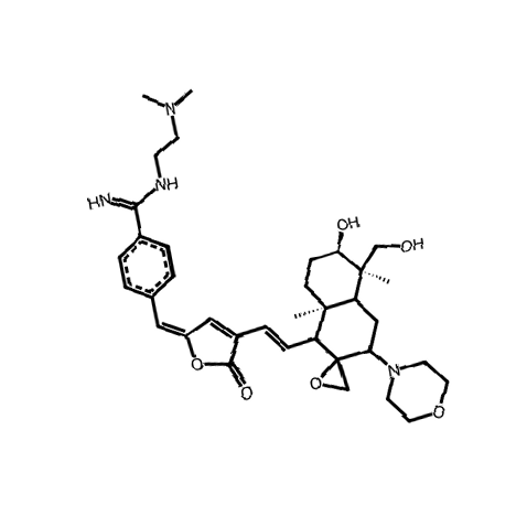 CN(C)CCNC(=N)c1ccc(/C=C2C=C(/C=C/C3C4(CO4)C(N4CCOCC4)CC4[C@]3(C)CC[C@@H](O)[C@@]4(C)CO)C(=O)O\2)cc1